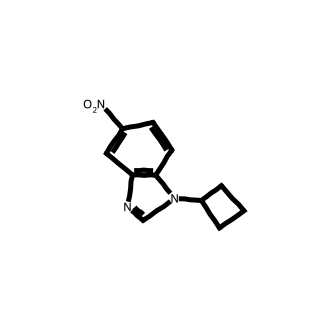 O=[N+]([O-])c1ccc2c(c1)ncn2C1CCC1